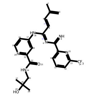 C=C(C)/C=C/C(=N\C(=N)c1cccc(C(F)(F)F)n1)Nc1ccnc(C(=O)NCC(C)(C)O)c1